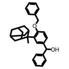 CC1(c2cc(C(O)c3ccccc3)ccc2OCc2ccccc2)C2CC3CC(C2)CC1C3